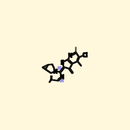 C=C(C)/C=N\C(=c1\sc2nc(C)c(Cl)c(C)c2c1=C)N1CC2CC2C1